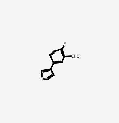 O=Cc1cc(-c2ccsc2)ccc1F